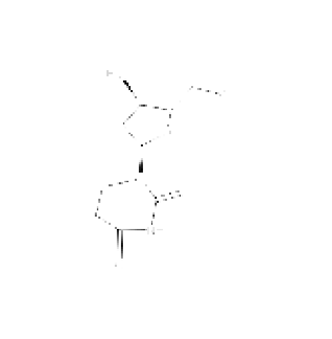 O=C1CCN([C@H]2C[C@@H](O)C(CO)O2)C(=O)N1